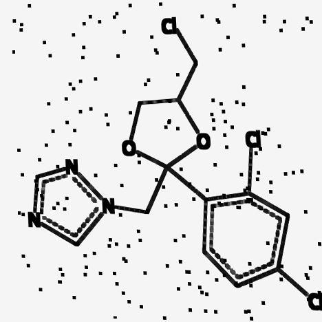 ClCC1COC(Cn2cncn2)(c2ccc(Cl)cc2Cl)O1